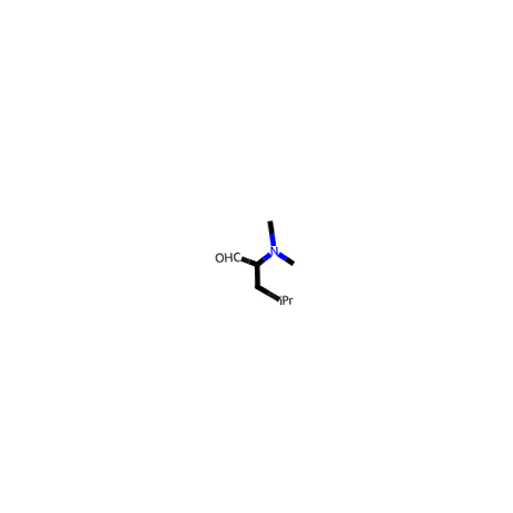 CC(C)CC(C=O)N(C)C